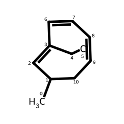 CC1/C=C(CCl)/C=C\C=C/C1